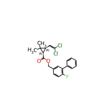 CC1(C)[C@H](C(=O)OCc2ccc(F)c(-c3ccccc3)c2)[C@@H]1C=C(Cl)Cl